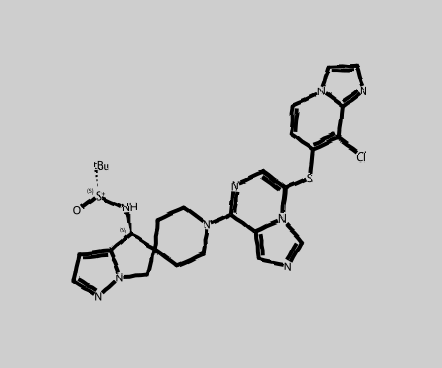 CC(C)(C)[S@@+]([O-])N[C@@H]1c2ccnn2CC12CCN(c1ncc(Sc3ccn4ccnc4c3Cl)n3cncc13)CC2